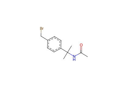 CC(=O)NC(C)(C)c1ccc(CBr)cc1